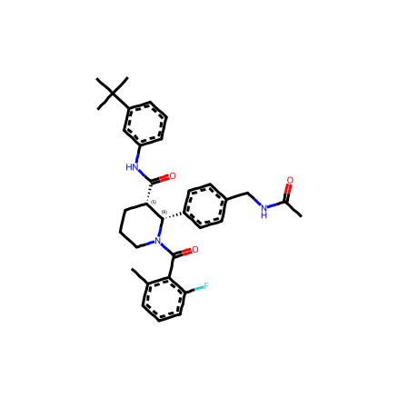 CC(=O)NCc1ccc([C@H]2[C@@H](C(=O)Nc3cccc(C(C)(C)C)c3)CCCN2C(=O)c2c(C)cccc2F)cc1